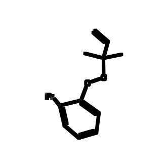 C=CC(C)(C)OOc1ccccc1C(C)C